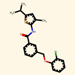 Cc1cc(C(C)C)sc1NC(=O)c1cccc(COc2ccccc2Br)c1